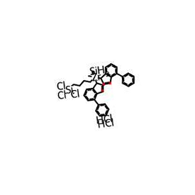 CC1=Cc2c(-c3ccccc3)cccc2[CH]1[Zr]([CH3])(=[SiH2])([CH2]CCC[Si](Cl)(Cl)Cl)[CH]1C(C)=Cc2c(-c3ccccc3)cccc21.Cl.Cl